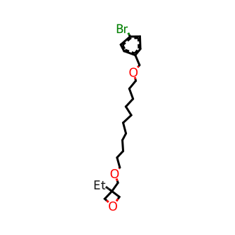 CCC1(COCCCCCCCCCCCOCc2ccc(Br)cc2)COC1